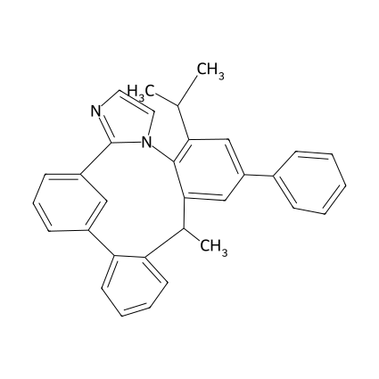 CC(C)c1cc(-c2ccccc2)cc2c1-n1ccnc1-c1cccc(c1)-c1ccccc1C2C